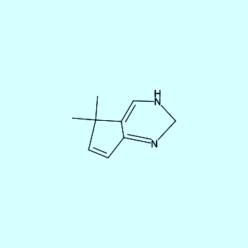 CC1(C)C=CC2=NCNC=C21